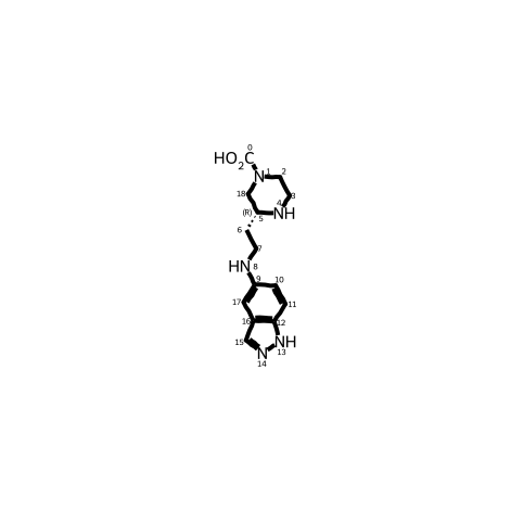 O=C(O)N1CCN[C@H](CCNc2ccc3[nH]ncc3c2)C1